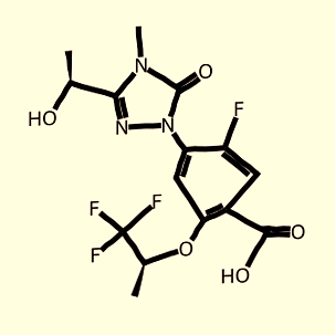 C[C@H](O)c1nn(-c2cc(O[C@@H](C)C(F)(F)F)c(C(=O)O)cc2F)c(=O)n1C